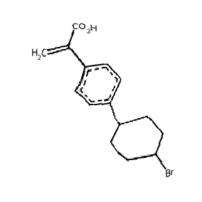 C=C(C(=O)O)c1ccc(C2CCC(Br)CC2)cc1